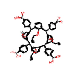 C#CCOc1c2cccc1C(c1ccc(B(O)O)cc1)c1cccc(c1OCC#C)C(c1ccc(B(O)O)cc1)c1cccc(c1OCC#C)C(c1ccc(B(O)O)cc1)c1cccc(c1OCC)C2c1ccc(B(O)O)cc1